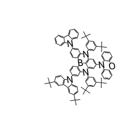 CC(C)(C)c1cc(N2c3cc(-n4c5ccccc5c5ccccc54)ccc3B3c4ccc(-n5c6ccc(C(C)(C)C)cc6c6cc(C(C)(C)C)ccc65)cc4N(c4cc(C(C)(C)C)cc(C(C)(C)C)c4)c4cc(N5c6ccccc6Oc6ccccc65)cc2c43)cc(C(C)(C)C)c1